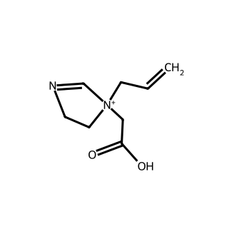 C=CC[N+]1(CC(=O)O)C=NCC1